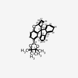 CC1(C)OB(c2ccc3c(c2)C2(c4ccccc4-c4ccccc42)C2CC=CC=C2O3)OC1(C)C